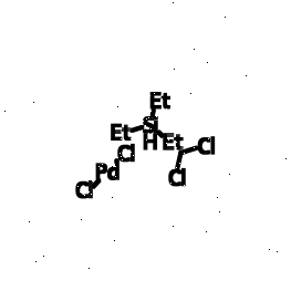 CC[SiH](CC)CC.ClCCl.[Cl][Pd][Cl]